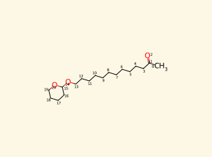 CC(=O)CCCCCCCCCCCOC1CCCCO1